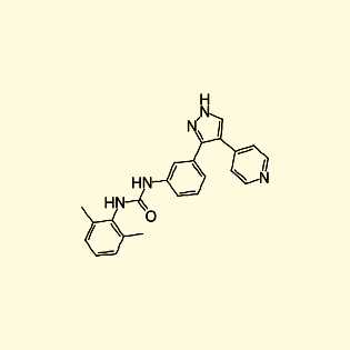 Cc1cccc(C)c1NC(=O)Nc1cccc(-c2n[nH]cc2-c2ccncc2)c1